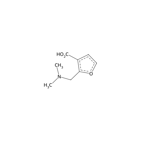 CN(C)Cc1occc1C(=O)O